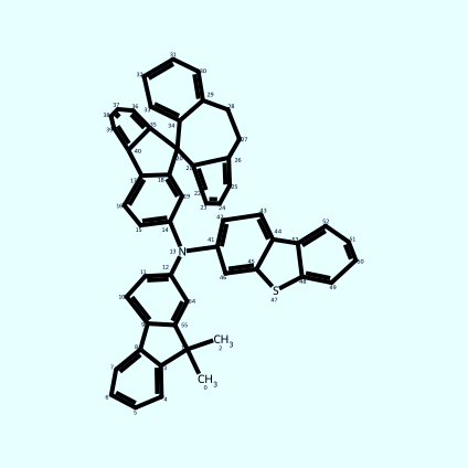 CC1(C)c2ccccc2-c2ccc(N(c3ccc4c(c3)C3(c5ccccc5CCc5ccccc53)c3ccccc3-4)c3ccc4c(c3)sc3ccccc34)cc21